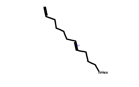 [CH]=CCCCC/C=C/CCCCCCCCC